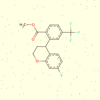 COC(=O)c1ccc(C(F)(F)F)cc1C1CCOc2cc(F)ccc21